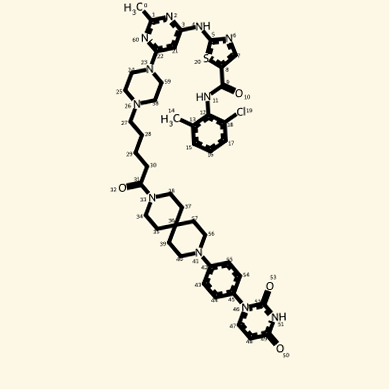 Cc1nc(Nc2ncc(C(=O)Nc3c(C)cccc3Cl)s2)cc(N2CCN(CCCCC(=O)N3CCC4(CC3)CCN(c3ccc(-n5ccc(=O)[nH]c5=O)cc3)CC4)CC2)n1